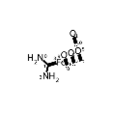 N[C](N)=[Fe].[C]=O.[C]=O.[C]=O.[C]=O